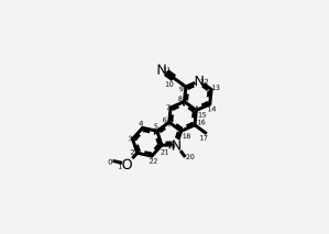 COc1ccc2c3cc4c(C#N)nccc4c(C)c3n(C)c2c1